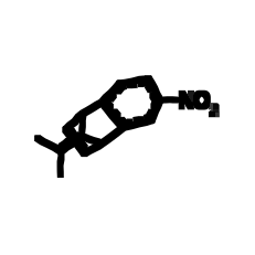 CC(C)=C1C2C=CC1c1cc([N+](=O)[O-])ccc12